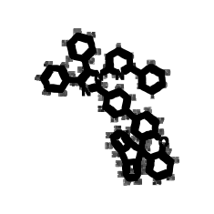 c1ccc(-c2cccc(-n3c(-c4ccc(-c5ccc6c(c5)C5(c7ccccc7O6)c6ccccc6-c6ccccc65)cc4)nc(-c4ccccc4)c3-c3ccccc3)n2)cc1